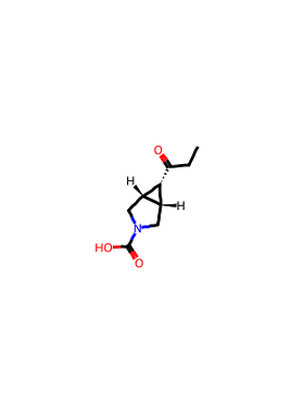 CCC(=O)[C@@H]1[C@@H]2CN(C(=O)O)C[C@@H]21